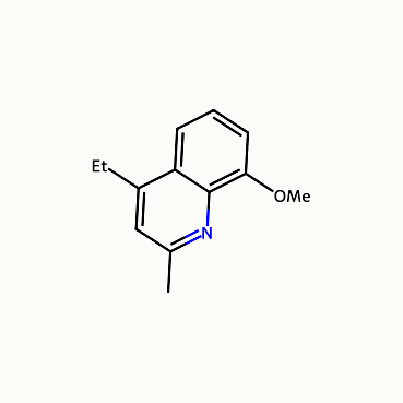 CCc1cc(C)nc2c(OC)cccc12